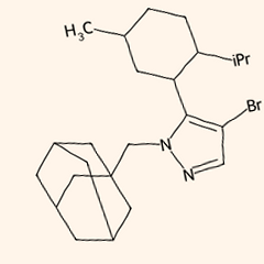 CC1CCC(C(C)C)C(c2c(Br)cnn2CC23CC4CC(CC(C4)C2)C3)C1